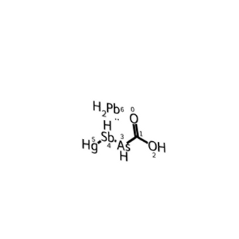 O=C(O)[AsH][SbH][Hg].[PbH2]